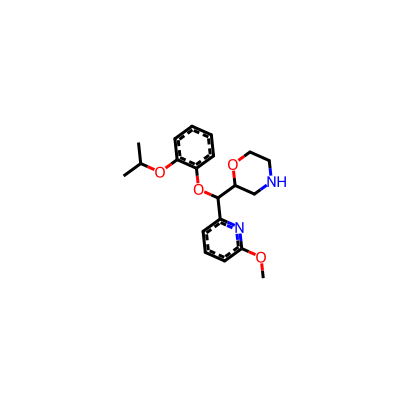 COc1cccc(C(Oc2ccccc2OC(C)C)C2CNCCO2)n1